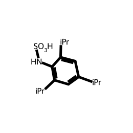 CC(C)c1cc(C(C)C)c(NS(=O)(=O)O)c(C(C)C)c1